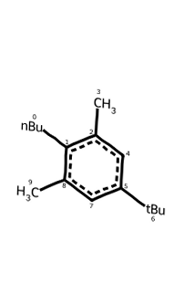 [CH2]CCCc1c(C)cc(C(C)(C)C)cc1C